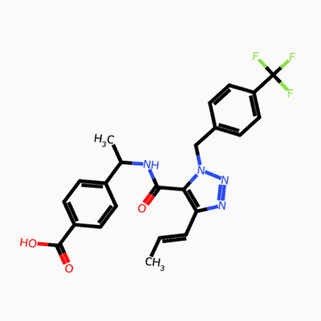 CC=Cc1nnn(Cc2ccc(C(F)(F)F)cc2)c1C(=O)NC(C)c1ccc(C(=O)O)cc1